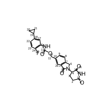 O=C1CCC(N2Cc3ccc(COC(=O)Nc4cc(C5CC5)ccc4F)cc3C2=O)C(=O)N1